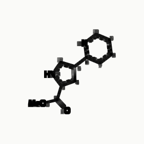 COC(=O)c1cc(-c2ccccn2)c[nH]1